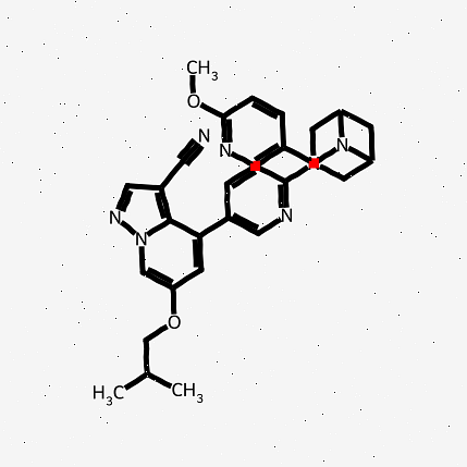 COc1ccc(CN2C3CC2CN(c2ccc(-c4cc(OCC(C)C)cn5ncc(C#N)c45)cn2)C3)cn1